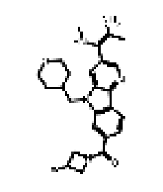 CN/C(=C(/C)N)c1cnc2c3ccc(C(=O)N4CC(F)C4)cc3n(CC3CCOCC3)c2c1